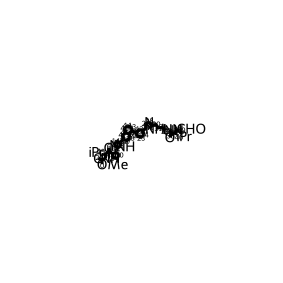 COC(=O)N[C@H](C(=O)N1CCC[C@H]1C1=NCC(c2ccc3c(-c4cccc(C5CN=C(CCCCNC(=O)[C@@H](NC=O)C(C)C)N5)c4)cccc3c2)N1)C(C)C